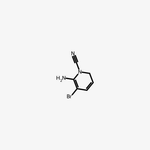 N#CN1CC=CC(Br)=C1N